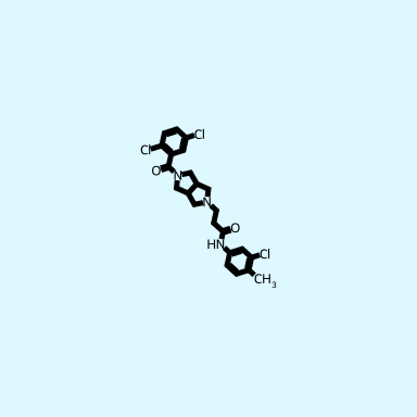 Cc1ccc(NC(=O)CCN2CC3CN(C(=O)c4cc(Cl)ccc4Cl)CC3C2)cc1Cl